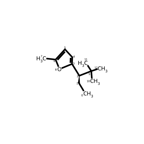 CC[C@@H](c1ccc(C)o1)C(C)(C)C